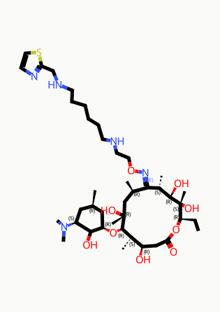 CC[C@H]1OC(=O)C[C@@H](O)[C@H](C)[C@@H](O[C@@H]2C[C@H](C)C[C@H](N(C)C)C2O)[C@](C)(O)C[C@@H](C)/C(=N\OCCNCCCCCCNCc2nccs2)[C@H](C)[C@@H](O)[C@]1(C)O